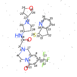 O=C(CN1CCn2c(cc(C(F)(F)F)cc2=O)C1)NC1CN(C2CCOC2)C[C@@H]1SC1CCc2cccnc21